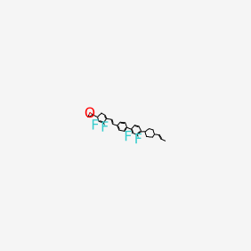 C/C=C/C1CCC(c2ccc(-c3ccc(/C=C/C4=CCC(C5CO5)C(F)=C4F)cc3)c(F)c2F)CC1